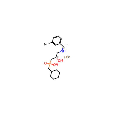 Br.C[C@H](NC[C@H](O)CP(=O)(O)CC1CCCCC1)c1cccc(C#N)c1